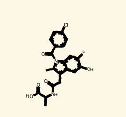 Cc1c(CC(=O)NC(C)C(=O)O)c2cc(O)c(F)cc2n1C(=O)c1ccc(Cl)cc1